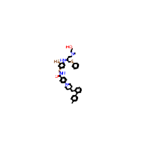 Cc1ccc(-c2ccccc2CC2CCN(c3ccc(C(=O)NSc4ccc(NC(CCN(C)CCO)CSc5ccccc5)c(S)c4)cc3)CC2)cc1